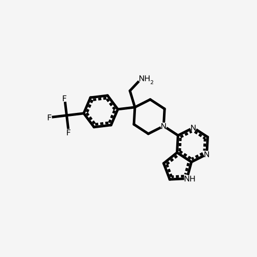 NCC1(c2ccc(C(F)(F)F)cc2)CCN(c2ncnc3[nH]ccc23)CC1